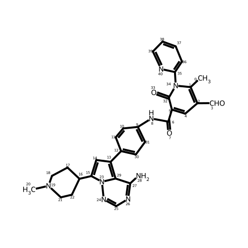 Cc1c(C=O)cc(C(=O)Nc2ccc(-c3cc(C4CCN(C)CC4)n4ncnc(N)c34)cc2)c(=O)n1-c1ccccn1